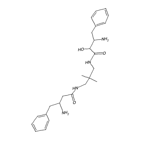 CC(C)(CNC(=O)CC(N)Cc1ccccc1)CNC(=O)C(O)C(N)Cc1ccccc1